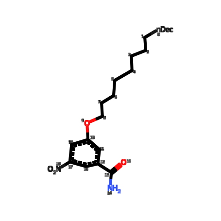 CCCCCCCCCCCCCCCCCCOc1cc(C(N)=O)cc([N+](=O)[O-])c1